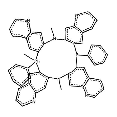 CN1c2cc3ncccc3cc2P(c2ccccc2)c2cc3cccnc3cc2N(C)c2cc3ncccc3cc2[PH](C)(c2ccccc2)c2cc3cccnc3cc21